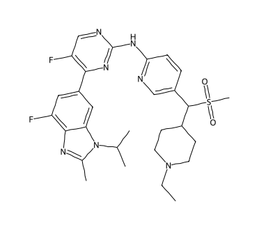 CCN1CCC(C(c2ccc(Nc3ncc(F)c(-c4cc(F)c5nc(C)n(C(C)C)c5c4)n3)nc2)S(C)(=O)=O)CC1